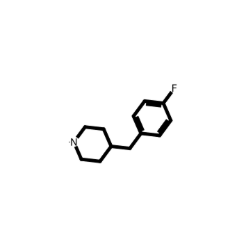 Fc1ccc(CC2CC[N]CC2)cc1